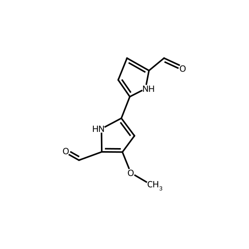 COc1cc(-c2ccc(C=O)[nH]2)[nH]c1C=O